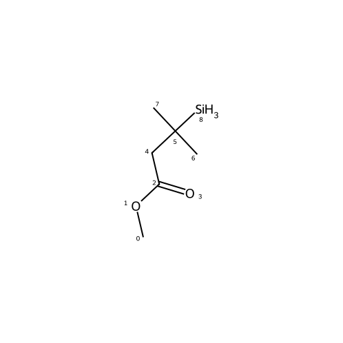 COC(=O)CC(C)(C)[SiH3]